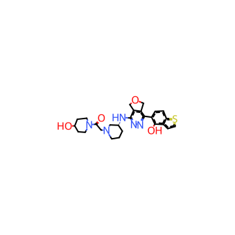 O=C(CN1CCC[C@@H](Nc2nnc(-c3ccc4sccc4c3O)c3c2COC3)C1)N1CCC(O)CC1